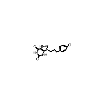 O=c1[nH]c2c(c(=O)[nH]1)NCN2CCCc1ccc(Cl)cc1